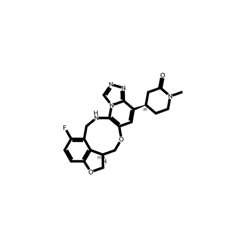 CN1CC[C@@H](c2cc3c(n4cnnc24)NCc2c(F)ccc4c2[C@@H](CO4)CO3)CC1=O